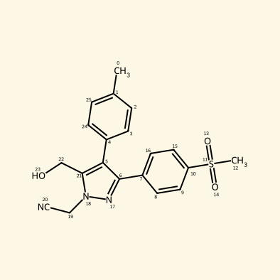 Cc1ccc(-c2c(-c3ccc(S(C)(=O)=O)cc3)nn(CC#N)c2CO)cc1